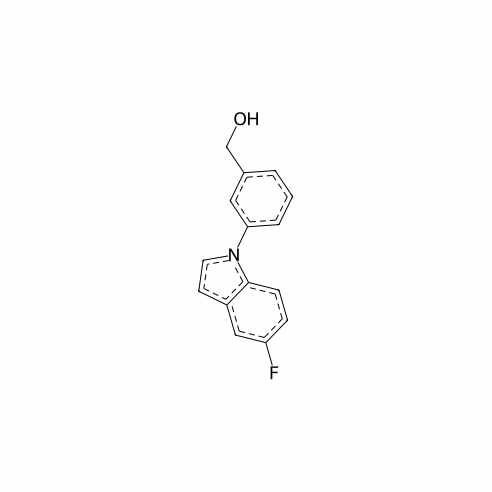 OCc1cccc(-n2ccc3cc(F)ccc32)c1